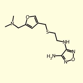 CN(C)Cc1cc(CSCCNc2nonc2N)co1